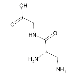 NC[C@H](N)C(=O)NCC(=O)O